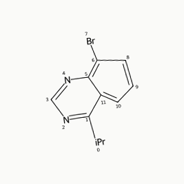 CC(C)c1ncnc2c(Br)cccc12